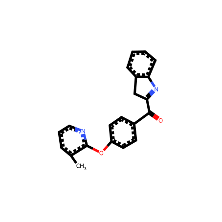 Cc1cccnc1Oc1ccc(C(=O)C2=Nc3ccccc3C2)cc1